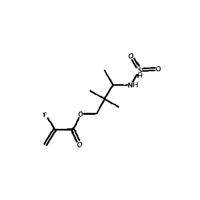 C=C(F)C(=O)OCC(C)(C)C(C)N[SH](=O)=O